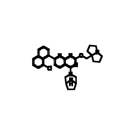 Clc1cccc2cccc(-c3ccc4c(N5CC6CCC(C5)N6)nc(OCC56CCCN5CCC6)nc4n3)c12